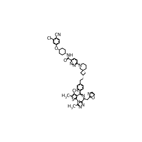 Cc1sc2c(c1C)C(c1ccc(CC[C@H]3C[C@]4(CCCN(c5ccc(C(=O)N[C@H]6CC[C@H](Oc7ccc(C#N)c(Cl)c7)CC6)nn5)C4)C3)cc1)=N[C@@H](Cc1ncco1)c1nnc(C)n1-2